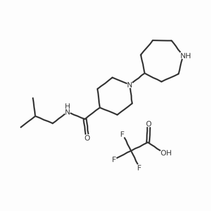 CC(C)CNC(=O)C1CCN(C2CCCNCC2)CC1.O=C(O)C(F)(F)F